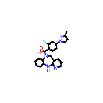 Cc1ccn(-c2ccc(C3(N4Cc5cccnc5Nc5ccccc54)OO3)c(F)c2)n1